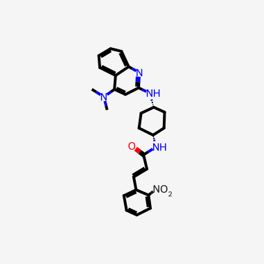 CN(C)c1cc(N[C@H]2CC[C@@H](NC(=O)C=Cc3ccccc3[N+](=O)[O-])CC2)nc2ccccc12